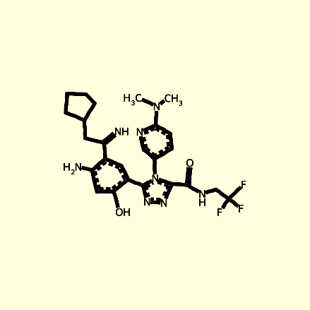 CN(C)c1ccc(-n2c(C(=O)NCC(F)(F)F)nnc2-c2cc(C(=N)CC3CCCC3)c(N)cc2O)cn1